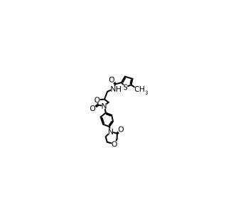 Cc1ccc(C(=O)NCC2CN(c3ccc(N4CCOCC4=O)cc3)C(=O)O2)s1